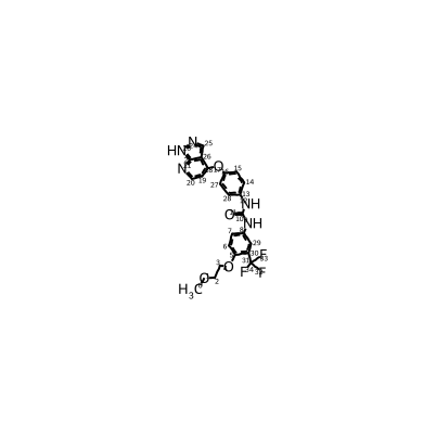 COCCOc1ccc(NC(=O)Nc2ccc(Oc3ccnc4[nH]ncc34)cc2)cc1C(F)(F)F